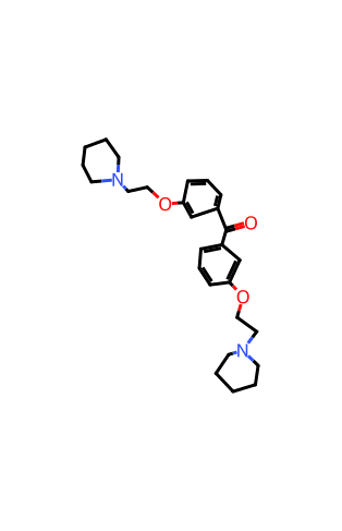 O=C(c1cccc(OCCN2CCCCC2)c1)c1cccc(OCCN2CCCCC2)c1